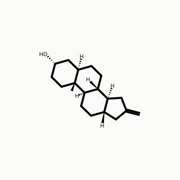 C=C1C[C@@H]2CC[C@@H]3[C@H](CC[C@@H]4C[C@@H](O)CC[C@]43C)[C@H]2C1